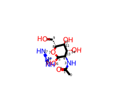 CC(=O)N[C@H]1C(O)O[C@H](CO)[C@@H](O)[C@@H]1O.N=[N+]=N